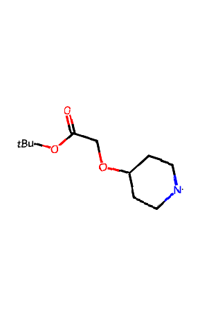 CC(C)(C)OC(=O)COC1CC[N]CC1